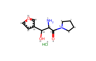 Cl.NC(C(=O)N1CCCC1)C(O)c1ccoc1